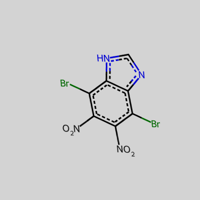 O=[N+]([O-])c1c([N+](=O)[O-])c(Br)c2[nH]cnc2c1Br